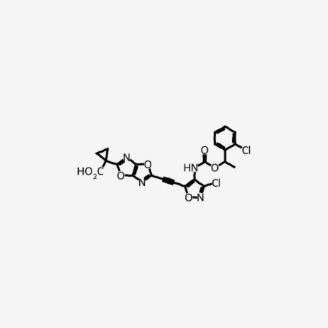 CC(OC(=O)Nc1c(Cl)noc1C#Cc1nc2oc(C3(C(=O)O)CC3)nc2o1)c1ccccc1Cl